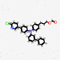 O=COCCCc1ccc(N(c2ccc(-c3ccc(Cl)nc3)cc2)c2cccc(-c3ccccc3)c2)cc1